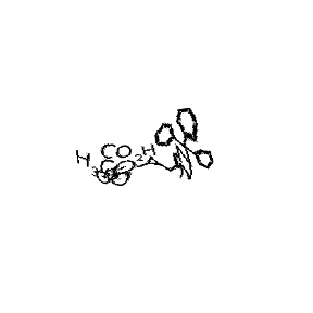 CS(=O)(=O)OCC1C(Cc2cn(C(c3ccccc3)(c3ccccc3)c3ccccc3)cn2)C1C(=O)O